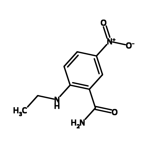 CCNc1ccc([N+](=O)[O-])cc1C(N)=O